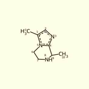 Cc1cnc2n1CCNC2C